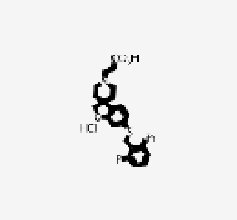 CC(C)c1cccc(F)c1CSc1ccc2c(c1)OCC21CCN(CCC(=O)O)CC1.Cl